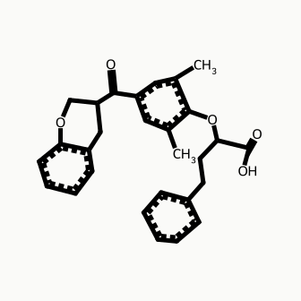 Cc1cc(C(=O)C2COc3ccccc3C2)cc(C)c1OC(CCc1ccccc1)C(=O)O